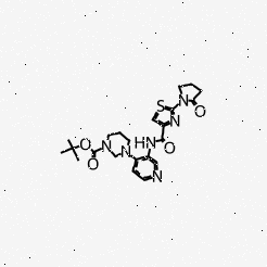 CC(C)(C)OC(=O)N1CCCN(c2ccncc2NC(=O)c2csc(N3CCCC3=O)n2)C1